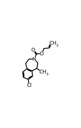 C=CCOC(=O)N1CCc2ccc(Cl)cc2C(C)C1